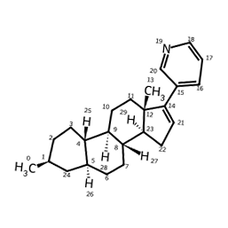 C[C@H]1CC[C@H]2[C@@H](CC[C@@H]3[C@@H]2CC[C@]2(C)C(c4cccnc4)=CC[C@@H]32)C1